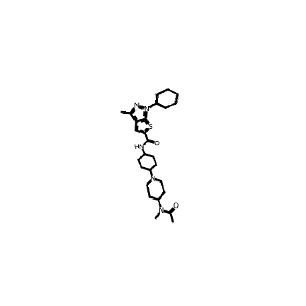 CC(=O)N(C)C1CCN(C2CCC(NC(=O)c3cc4c(C)nn(C5CCCCC5)c4s3)CC2)CC1